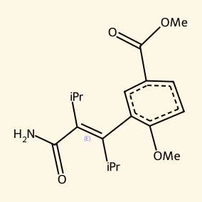 COC(=O)c1ccc(OC)c(/C(=C(/C(N)=O)C(C)C)C(C)C)c1